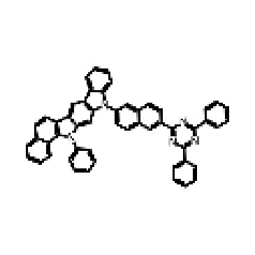 c1ccc(-c2nc(-c3ccccc3)nc(-c3ccc4cc(-n5c6ccccc6c6cc7c8ccc9ccccc9c8n(-c8ccccc8)c7cc65)ccc4c3)n2)cc1